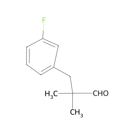 CC(C)(C=O)Cc1cccc(F)c1